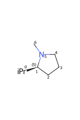 CC(C)[C@@H]1CCCN1C